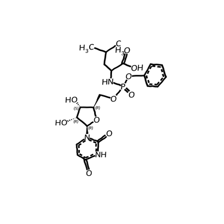 CC(C)CC(NP(=O)(OC[C@H]1O[C@@H](n2ccc(=O)[nH]c2=O)[C@H](O)[C@@H]1O)Oc1ccccc1)C(=O)O